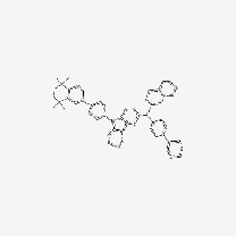 CC1(C)CCC(C)(C)c2cc(-c3ccc(-n4c5ccccc5c5cc(N(c6ccc(-c7ccccc7)cc6)c6ccc7ccccc7c6)ccc54)cc3)ccc21